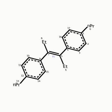 CCCc1ccc(/C(CC)=C(\CC)c2ccc(CCC)cc2)cc1